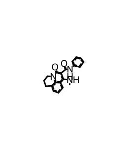 CNc1c(C(=O)Nc2ccccc2)c(=O)n2c3c(cccc13)CCC2